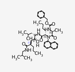 CCCC[C@@H](C(=O)N[C@@H](CC(C)C)[C@@H](O)/C=C(\CCC)C(=O)NCC(C)C)N(C(=O)[C@H](C)NC(=O)OCc1ccccc1)c1cccc2ccccc12